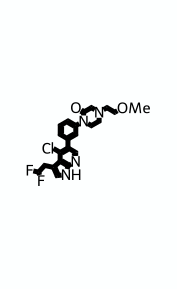 COCCN1CCN(c2cccc(-c3cnc4[nH]cc(CC(F)F)c4c3Cl)c2)C(=O)C1